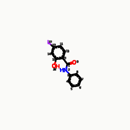 O=C(Nc1ccccc1)c1ccc(I)cc1O